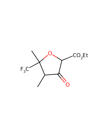 CCOC(=O)C1OC(C)(C(F)(F)F)C(C)C1=O